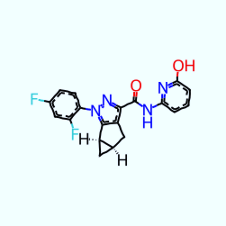 O=C(Nc1cccc(O)n1)c1nn(-c2ccc(F)cc2F)c2c1C[C@H]1C[C@@H]21